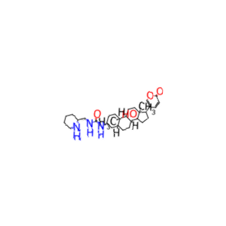 C[C@]12CC[C@H](NC(=O)NCC3CCCCN3)C[C@H]1CC[C@@H]1[C@@H]2CC[C@]2(C)[C@@H](c3ccc(=O)oc3)CC[C@]12O